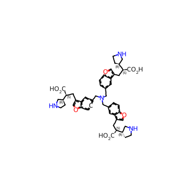 O=C(O)[C@@H](Cc1coc2ccc(CN(Cc3ccc4occ(C[C@H](C(=O)O)[C@H]5CCNC5)c4c3)Cc3ccc4occ(C[C@H](C(=O)O)[C@H]5CCNC5)c4c3)cc12)[C@H]1CCNC1